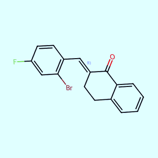 O=C1/C(=C/c2ccc(F)cc2Br)CCc2ccccc21